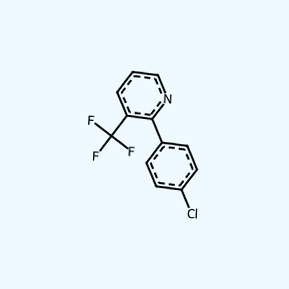 FC(F)(F)c1cccnc1-c1ccc(Cl)cc1